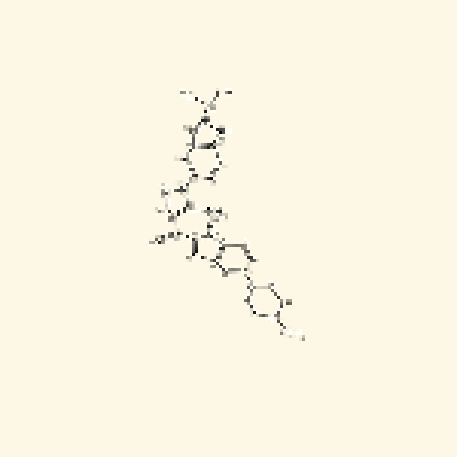 CN1CCC(c2ccc3[nH]c(C(=O)c4cnn(-c5ccc6[nH]c(C(F)F)nc6c5)c4N)cc3c2)CC1